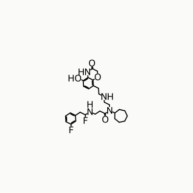 O=C1COc2c(CCNCCN(C(=O)CCNC(F)Cc3cccc(F)c3)C3CCCCCC3)ccc(O)c2N1